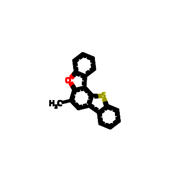 Cc1cc2c3ccccc3sc2c2c1oc1ccccc12